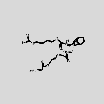 C=CC(=O)OCCOC(=O)NC[C@@H]1CC2CCC1C2CNC(=O)OCCCCOC(=O)CC